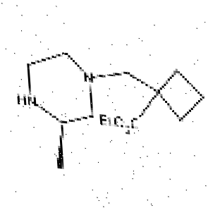 CCOC(=O)C1(CN2CCN[C@H](C)C2)CCC1